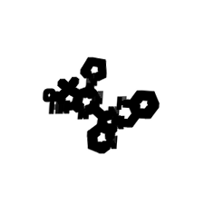 CC1(C)C(=O)Nc2nc(-c3nn(Cc4ccccc4F)c4ncccc34)nc(N3CCCC3)c21